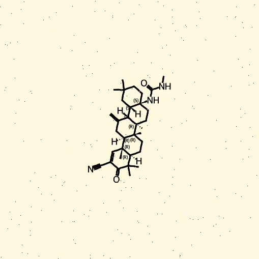 C=C1C[C@@H]2[C@@]3(C)C=C(C#N)C(=O)C(C)(C)[C@@H]3CC[C@@]2(C)[C@]2(C)CC[C@@]3(NC(=O)NC)CCC(C)(C)C[C@H]3[C@@H]12